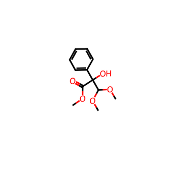 COC(=O)C(O)(c1ccccc1)C(OC)OC